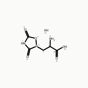 NC(Cn1oc(=O)[nH]c1=O)C(=O)O.[KH]